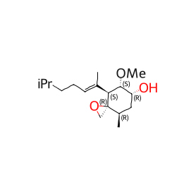 CO[C@@H]1[C@H](O)C[C@@H](C)[C@]2(CO2)[C@H]1C(C)=CCCC(C)C